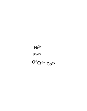 [Co+2].[Cr+3].[Fe+2].[Ni+2].[O-2]